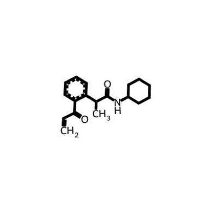 C=CC(=O)c1ccccc1C(C)C(=O)NC1CCCCC1